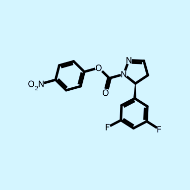 O=C(Oc1ccc([N+](=O)[O-])cc1)N1N=CC[C@H]1c1cc(F)cc(F)c1